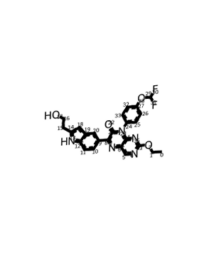 CCOc1ncc2nc(-c3ccc4[nH]c(CCO)cc4c3)c(=O)n(-c3ccc(OC(F)F)cc3)c2n1